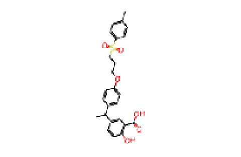 Cc1ccc(S(=O)(=O)CCCOc2ccc(C(C)c3ccc(O)c(C(=O)O)c3)cc2)cc1